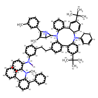 CC1=C(c2cccc(C)c2)N2C1C2N1c2cc(CCc3cccc(N(I)c4ccccc4N(C)c4c(-c5ccccc5)cccc4-c4ccccc4)c3)ccc2-c2cc(C(C)(C)C)ccc2N(C2=CC=CCC2)C2C=CC(C(C)(C)C)=CC2c2ccccc21